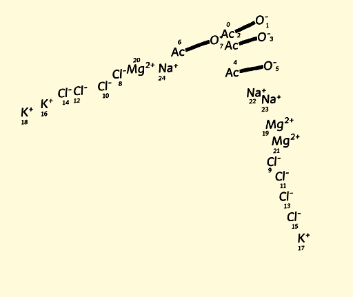 CC(=O)[O-].CC(=O)[O-].CC(=O)[O-].CC(=O)[O-].[Cl-].[Cl-].[Cl-].[Cl-].[Cl-].[Cl-].[Cl-].[Cl-].[K+].[K+].[K+].[Mg+2].[Mg+2].[Mg+2].[Na+].[Na+].[Na+]